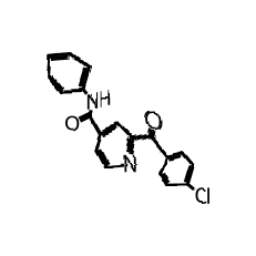 O=C(Nc1ccccc1)c1ccnc(C(=O)c2ccc(Cl)cc2)c1